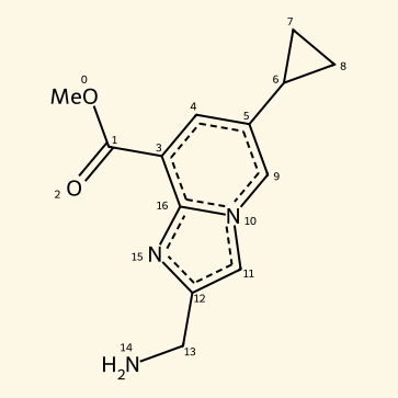 COC(=O)c1cc(C2CC2)cn2cc(CN)nc12